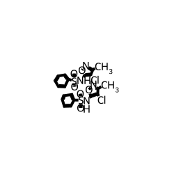 Cc1noc(NS(=O)(=O)c2ccccc2)c1Cl.Cc1noc(NS(=O)(=O)c2ccccc2)c1Cl